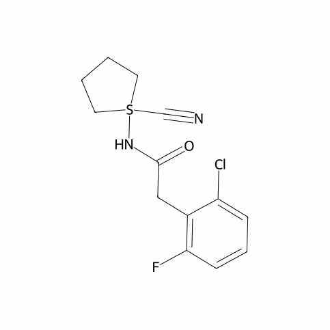 N#CS1(NC(=O)Cc2c(F)cccc2Cl)CCCC1